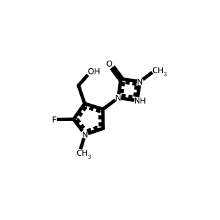 Cn1cc(-n2[nH]n(C)c2=O)c(CO)c1F